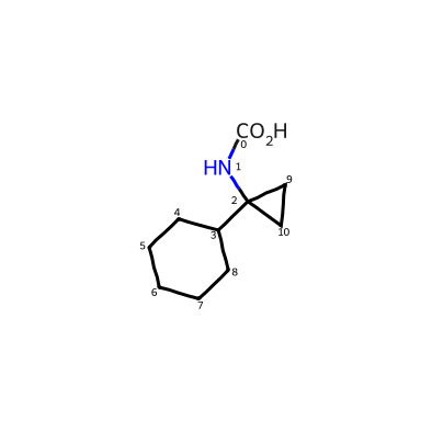 O=C(O)NC1(C2CCCCC2)CC1